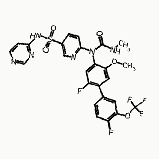 CNC(=O)N(c1ccc(S(=O)(=O)Nc2ccncn2)cn1)c1cc(F)c(-c2ccc(F)c(OC(F)(F)F)c2)cc1OC